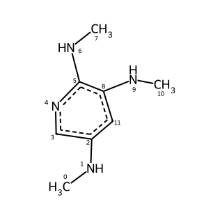 CNc1cnc(NC)c(NC)c1